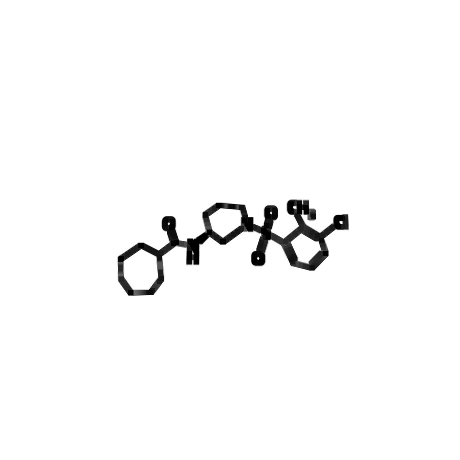 Cc1c(Cl)cccc1S(=O)(=O)N1CCC[C@H](NC(=O)C2CCCCCC2)C1